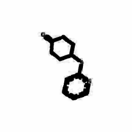 O=C1CCC(Sc2ccccn2)CC1